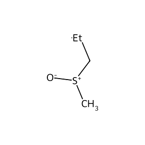 C[CH]C[S+](C)[O-]